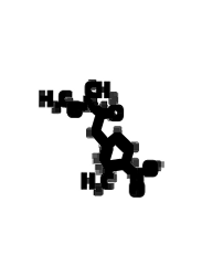 CON(C)C(=O)Cc1ccc([N+](=O)[O-])c(C)c1